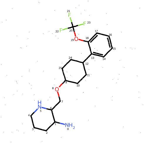 NC1CCCNC1COC1CCC(c2ccccc2OC(F)(F)F)CC1